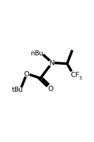 CCCCN(C(=O)OC(C)(C)C)C(C)C(F)(F)F